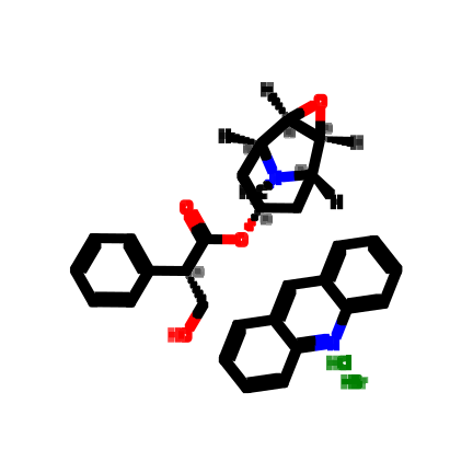 Br.CN1[C@H]2C[C@H](OC(=O)[C@H](CO)c3ccccc3)C[C@H]1[C@H]1O[C@H]12.Cl.c1ccc2nc3ccccc3cc2c1